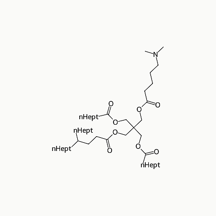 CCCCCCCC(=O)OCC(COC(=O)CCCCCCC)(COC(=O)CCCCN(C)C)COC(=O)CCC(CCCCCCC)CCCCCCC